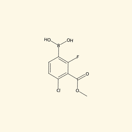 COC(=O)c1c(Cl)ccc(B(O)O)c1F